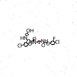 O=C(COc1ccc(Cl)c(F)c1)NC12CC(NC(=O)C3CC(NC4CC(O)C4)c4cc(Cl)ccc4O3)(C1)C2